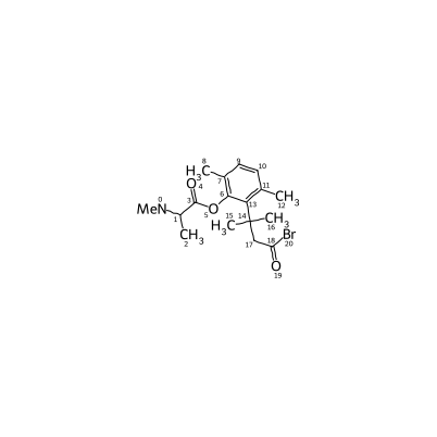 CNC(C)C(=O)Oc1c(C)ccc(C)c1C(C)(C)CC(=O)Br